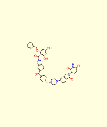 O=C1CCC(N2Cc3cc(N4CCN(CC5CCN(C(=O)c6ccc7c(c6)CN(C(=O)c6c(O)cc(O)cc6OCc6ccccc6)C7)CC5)CC4)ccc3C2=O)C(=O)N1